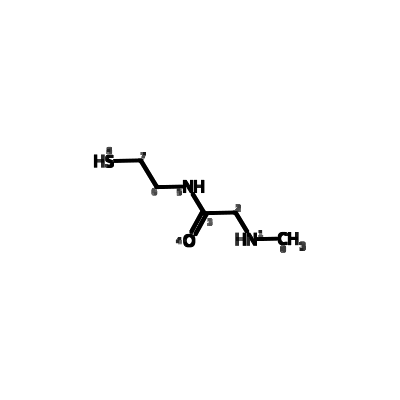 CNCC(=O)NCCS